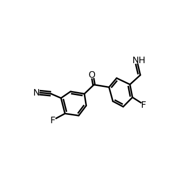 N#Cc1cc(C(=O)c2ccc(F)c(C=N)c2)ccc1F